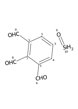 O=Cc1cccc(C=O)c1C=O.O=[SiH2]